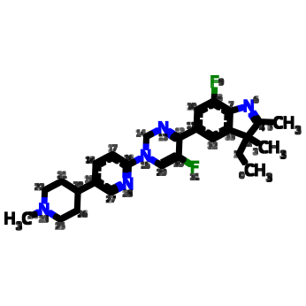 CCC1(C)C(C)=Nc2c(F)cc(C3=NCN(c4ccc(C5CCN(C)CC5)cn4)C=C3F)cc21